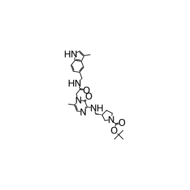 Cc1c[nH]c2ccc(CNC(=O)Cn3c(C)cnc(NC[C@H]4CCN(C(=O)OC(C)(C)C)C4)c3=O)cc12